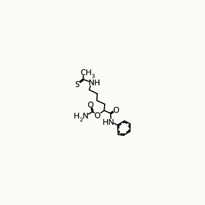 CC(=S)NCCCCC(OC(N)=O)C(=O)Nc1ccccc1